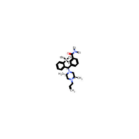 C=CCN1C[C@H](C)N([C@H](c2cccc(C(=O)N(CC)CC)c2)c2ccccc2[Si](C)(C)C(C)(C)C)C[C@H]1C